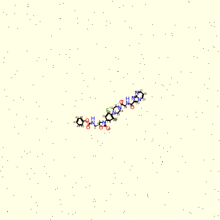 O=C(NC[C@H]1CN(c2cc(F)c(N3CCN(C(=O)CNC(=O)c4cn5cccnc5n4)CC3)c(F)c2)C(=O)O1)Oc1ccccc1